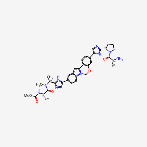 COC(=O)N[C@H](C(=O)N(C)[C@@H](C)c1ncc(-c2ccc3c(c2)cc2n3COc3cc(-c4cnc([C@@H]5CCCN5C(=O)[C@@H](N)C(C)C)[nH]4)ccc3-2)[nH]1)C(C)C